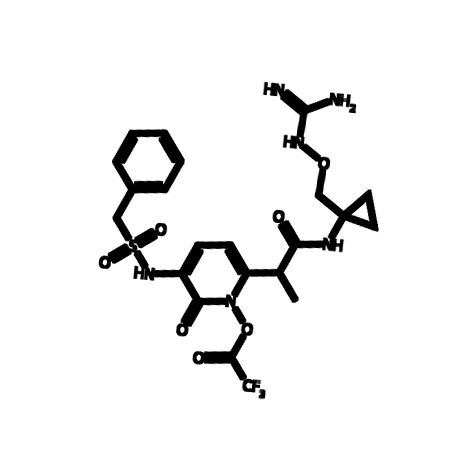 CC(C(=O)NC1(CONC(=N)N)CC1)c1ccc(NS(=O)(=O)Cc2ccccc2)c(=O)n1OC(=O)C(F)(F)F